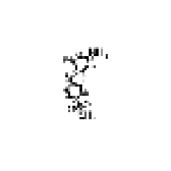 CS(=O)(=O)c1ccc(Oc2ccc(N)cc2F)cn1